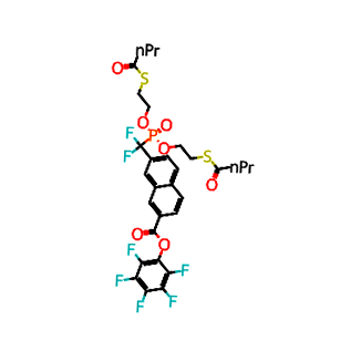 CCCC(=O)SCCOP(=O)(OCCSC(=O)CCC)C(F)(F)c1ccc2ccc(C(=O)Oc3c(F)c(F)c(F)c(F)c3F)cc2c1